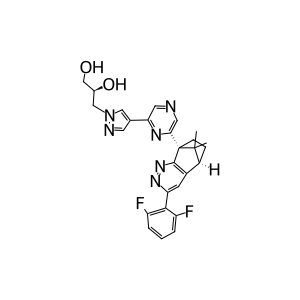 CC1(C)[C@H]2CC[C@]1(c1cncc(-c3cnn(C[C@H](O)CO)c3)n1)c1nnc(-c3c(F)cccc3F)cc12